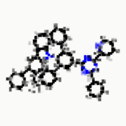 CC1(C)c2ccccc2-c2cc3c4ccccc4n(-c4c(-c5ccccc5)cc(-c5nc(-c6ccccc6)nc(-c6ccccn6)n5)cc4-c4ccccc4)c3cc21